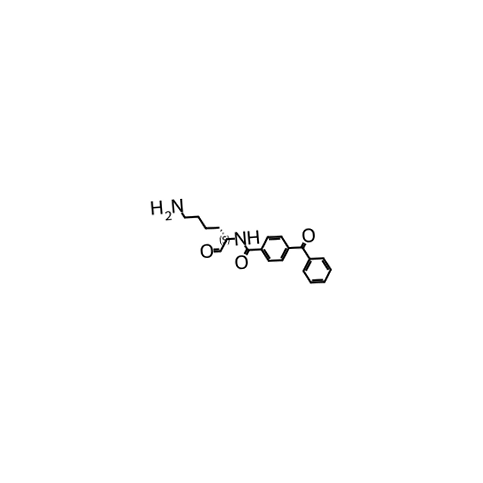 NCCCC[C@@H](C=O)NC(=O)c1ccc(C(=O)c2ccccc2)cc1